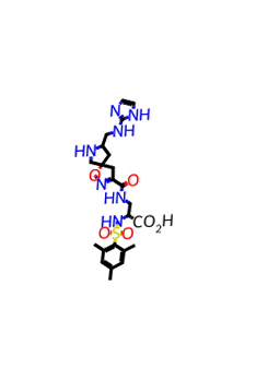 Cc1cc(C)c(S(=O)(=O)NC(CNC(=O)C2=NOC3(CNC(CNc4ncc[nH]4)C3)C2)C(=O)O)c(C)c1